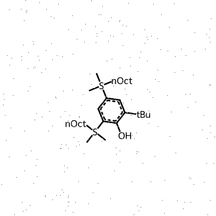 CCCCCCCCS(C)(C)c1cc(C(C)(C)C)c(O)c(S(C)(C)CCCCCCCC)c1